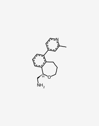 Cc1cc(-c2cccc3c2CCCO[C@H]3CN)ccn1